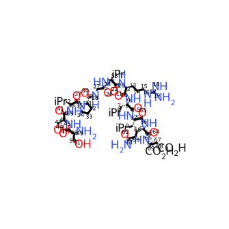 CC(C)C[C@H](NC(=O)[C@H](CC(C)C)NC(=O)[C@H](CCCNC(=N)N)NC(=O)[C@@H](NC(=O)CNC(=O)[C@@H]1CCCN1C(=O)[C@@H](NC(=O)[C@H](CO)NC(=O)[C@@H](N)CO)C(C)C)C(C)C)C(=O)N[C@@H](CCC(N)=O)C(=O)N[C@@H](CC(=O)O)C(=O)O